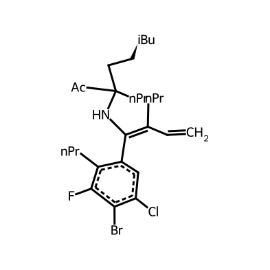 C=C/C(CCC)=C(/NC(CCC)(CC[C@H](C)CC)C(C)=O)c1cc(Cl)c(Br)c(F)c1CCC